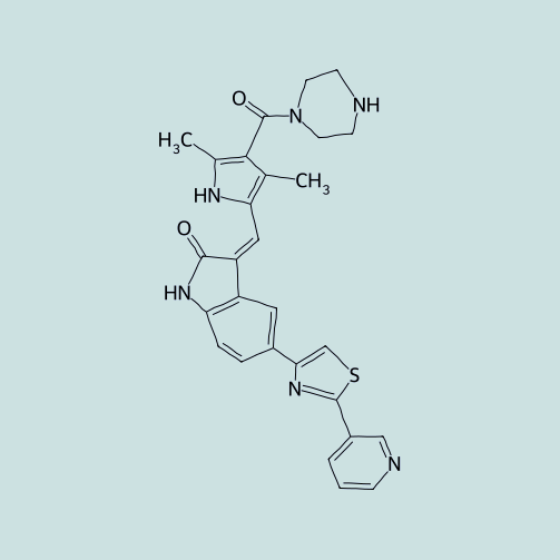 Cc1[nH]c(/C=C2\C(=O)Nc3ccc(-c4csc(-c5cccnc5)n4)cc32)c(C)c1C(=O)N1CCNCC1